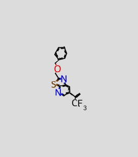 C=C(c1cnc2sc(COCc3ccccc3)nc2c1)C(F)(F)F